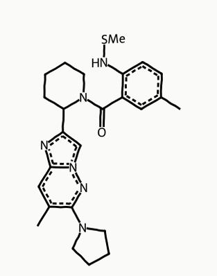 CSNc1ccc(C)cc1C(=O)N1CCCCC1c1cn2nc(N3CCCC3)c(C)cc2n1